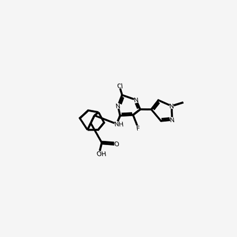 Cn1cc(-c2nc(Cl)nc(NC3C4CCC(CC4)C3C(=O)O)c2F)cn1